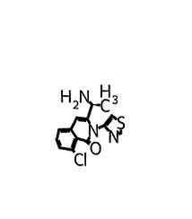 C[C@H](N)c1cc2cccc(Cl)c2c(=O)n1-c1cscn1